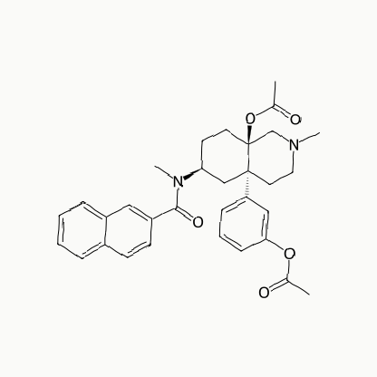 CC(=O)Oc1cccc([C@@]23CCN(C)C[C@@]2(OC(C)=O)CC[C@H](N(C)C(=O)c2ccc4ccccc4c2)C3)c1